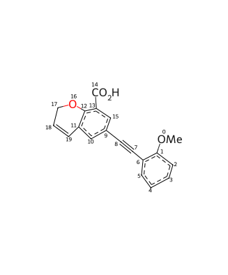 COc1ccccc1C#Cc1cc2c(c(C(=O)O)c1)OCC=C2